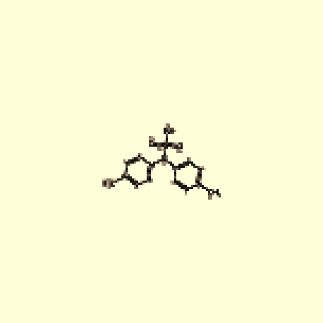 Cc1ccc(N(c2ccc(C)cc2)S([NH])(=O)=O)cc1